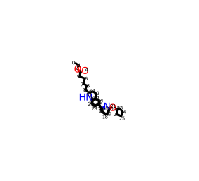 CCOC(=O)CCCCCC1CCc2cc(-c3cccc(OC4CCCC4)n3)ccc2N1